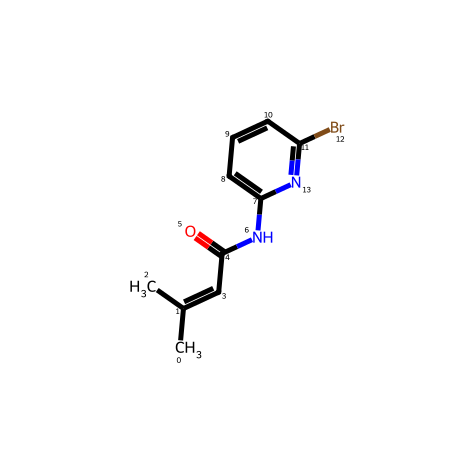 CC(C)=CC(=O)Nc1cccc(Br)n1